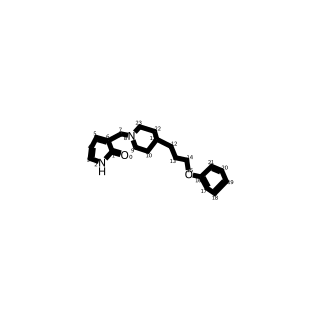 O=c1[nH]cccc1CN1CCC(CCCOc2ccccc2)CC1